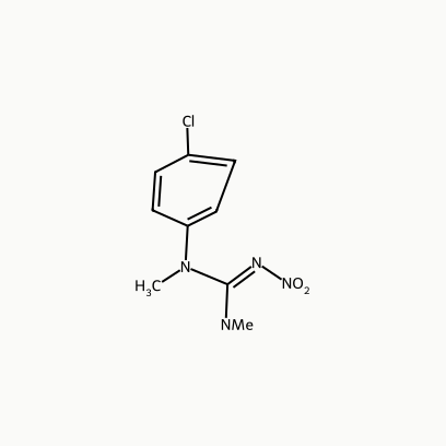 CNC(=N[N+](=O)[O-])N(C)c1ccc(Cl)cc1